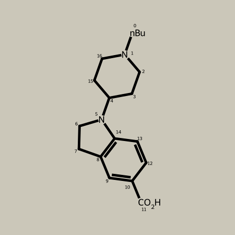 CCCCN1CCC(N2CCc3cc(C(=O)O)ccc32)CC1